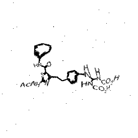 CC(=O)Nc1nc(CCc2ccc(NC(NC(=O)O)NC(=O)O)cc2)c(C(=O)Nc2ccccc2)s1